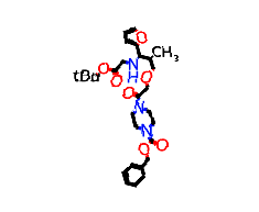 C[C@H](COCC(=O)N1CCN(C(=O)OCc2ccccc2)CC1)[C@H](NCC(=O)OC(C)(C)C)c1ccco1